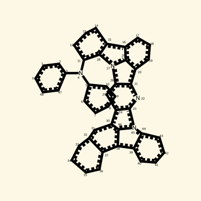 c1ccc(N(c2ccccc2)c2cccc3c4cccc5c6nc7c(cc6n(c23)c45)c2cc3ccccc3c3c4ccccc4n7c23)cc1